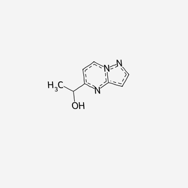 CC(O)c1ccn2nccc2n1